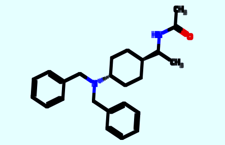 CC(=O)NC(C)[C@H]1CC[C@H](N(Cc2ccccc2)Cc2ccccc2)CC1